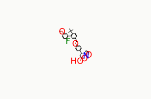 COc1ccc(F)c(-c2cc(COc3ccc(C(CC(=O)O)c4ccon4)cc3)ccc2C(C)(C)C)c1